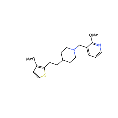 COc1ccsc1CCC1CCN(Cc2cccnc2OC)CC1